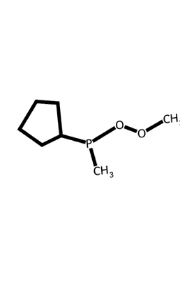 COOP(C)C1CCCC1